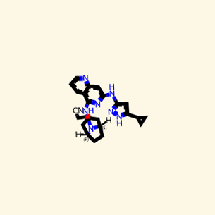 N#CCCN1[C@@H]2CC[C@H]1C[C@H](Nc1nc(Nc3cc(C4CC4)[nH]n3)cc3ncccc13)C2